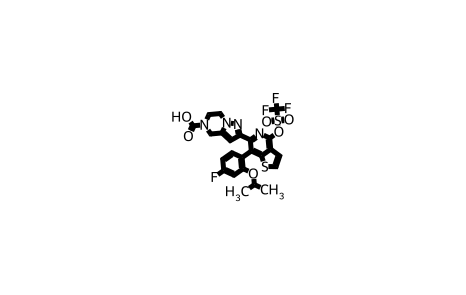 CC(C)Oc1cc(F)ccc1-c1c(-c2cc3n(n2)CCN(C(=O)O)C3)nc(OS(=O)(=O)C(F)(F)F)c2ccsc12